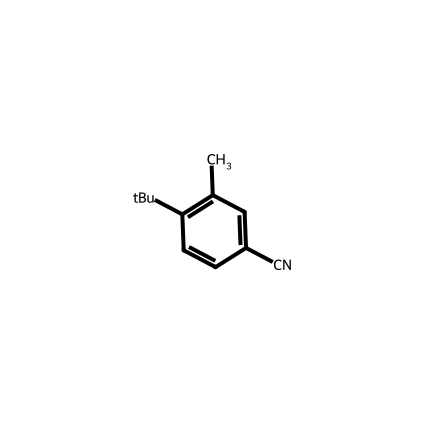 Cc1cc(C#N)ccc1C(C)(C)C